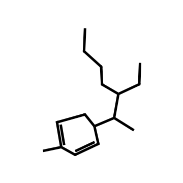 CCCCC(CC)C(C)C1C=CC(C)=CC1